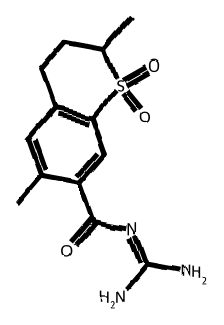 Cc1cc2c(cc1C(=O)N=C(N)N)S(=O)(=O)C(C)CC2